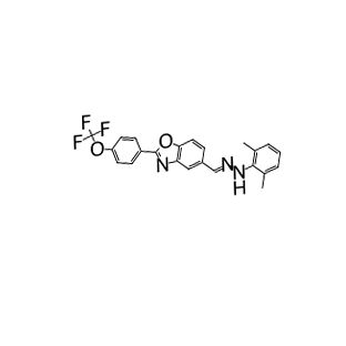 Cc1cccc(C)c1N/N=C/c1ccc2oc(-c3ccc(OC(F)(F)F)cc3)nc2c1